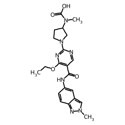 CCOc1nc(N2CCC(N(C)C(=O)O)C2)ncc1C(=O)Nc1ccc2nn(C)cc2c1